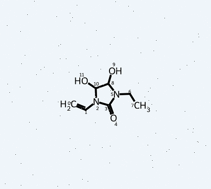 C=CN1C(=O)N(CC)C(O)C1O